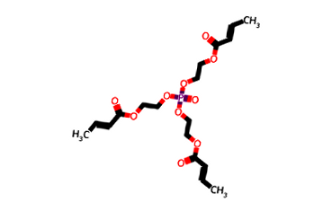 CC=CC(=O)OCCOP(=O)(OCCOC(=O)C=CC)OCCOC(=O)C=CC